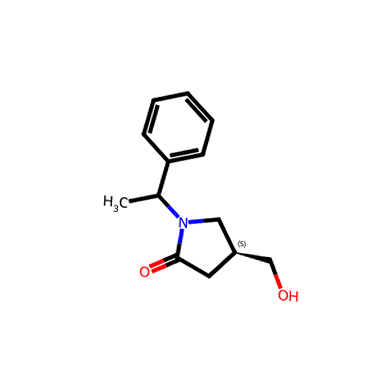 CC(c1ccccc1)N1C[C@@H](CO)CC1=O